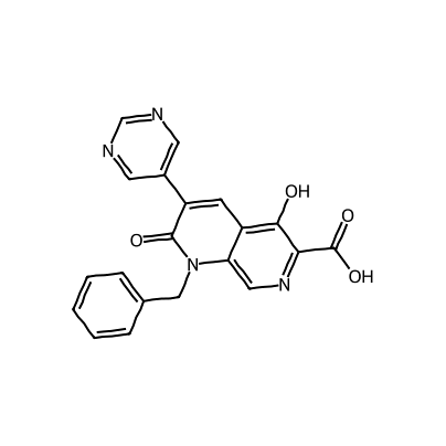 O=C(O)c1ncc2c(cc(-c3cncnc3)c(=O)n2Cc2ccccc2)c1O